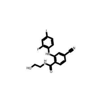 N#Cc1ccc(C(=O)NCCO)c(Nc2ccc(I)cc2F)c1